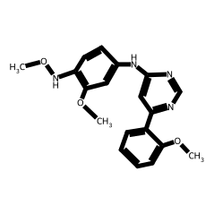 CONc1ccc(Nc2cc(-c3ccccc3OC)ncn2)cc1OC